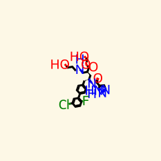 O=C(N[C@H](Cc1ccc(-c2cc(Cl)ccc2F)cc1)C[C@@H](CNCCCO)C(=O)OCO)c1cnn[nH]1